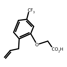 C=CCc1ccc(C(F)(F)F)cc1OCC(=O)O